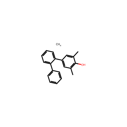 C.Cc1cc(-c2ccccc2-c2ccccc2)cc(C)c1O